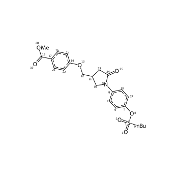 CCCCS(=O)(=O)Oc1ccc(N2CC(COc3ccc(C(=O)OC)cc3)CC2=O)cc1